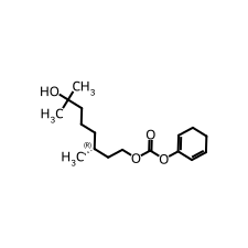 C[C@H](CCCC(C)(C)O)CCOC(=O)OC1=CCCC=C1